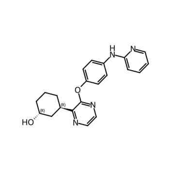 O[C@@H]1CCC[C@@H](c2nccnc2Oc2ccc(Nc3ccccn3)cc2)C1